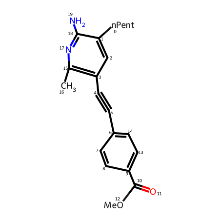 CCCCCc1cc(C#Cc2ccc(C(=O)OC)cc2)c(C)nc1N